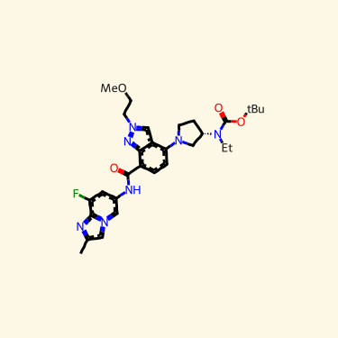 CCN(C(=O)OC(C)(C)C)[C@H]1CCN(c2ccc(C(=O)Nc3cc(F)c4nc(C)cn4c3)c3nn(CCOC)cc23)C1